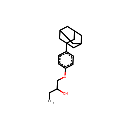 CCC(O)COc1ccc(C23CC4CC(CC(C4)C2)C3)cc1